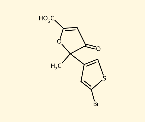 CC1(c2csc(Br)c2)OC(C(=O)O)=CC1=O